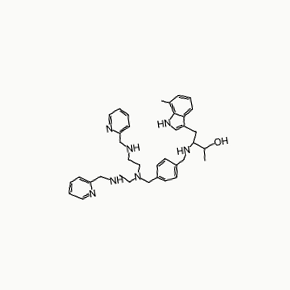 Cc1cccc2c(CC(NCc3ccc(CN(CCNCc4ccccn4)CCNCc4ccccn4)cc3)C(C)O)c[nH]c12